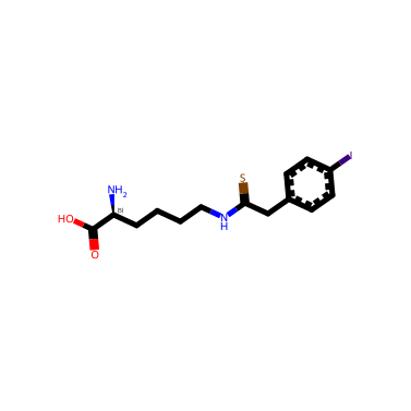 N[C@@H](CCCCNC(=S)Cc1ccc(I)cc1)C(=O)O